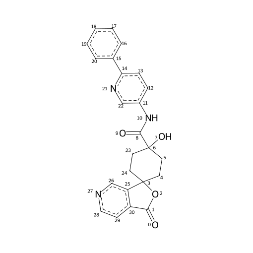 O=C1OC2(CCC(O)(C(=O)Nc3ccc(-c4ccccc4)nc3)CC2)c2cnccc21